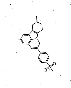 Cc1cc2c3c(c1)c1c(n3CC(c3ccc(S(C)(=O)=O)cc3)=C2)CCN(C)C1